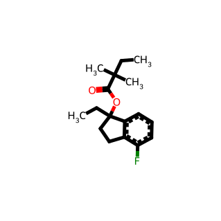 CCC(C)(C)C(=O)OC1(CC)CCc2c(F)cccc21